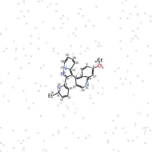 CCOc1ccc2c(-c3c(-c4cccc(CC)n4)nn4ccccc34)ccnc2c1